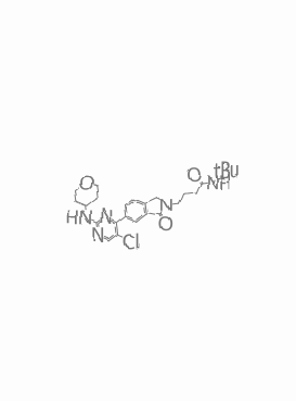 CC(C)(C)NC(=O)CCCN1Cc2ccc(-c3nc(NC4CCOCC4)ncc3Cl)cc2C1=O